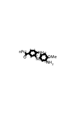 CCCC(=O)c1ccc(Nc2ccc(N)c(OC)c2)c([N+](=O)[O-])c1